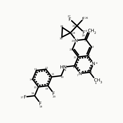 C=C1C=c2nc(C)nc(NCc3cccc(C(F)F)c3F)c2=CN1C1(C(F)(F)F)CC1